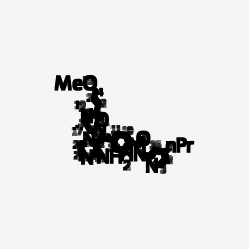 CCCc1ccnc(NC(=O)c2ccc(-c3nc([C@H](C)N(C)C(=O)/C=C/COC)n4ccnc(N)c34)cc2)c1